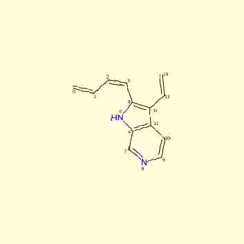 C=C/C=C\c1[nH]c2cnccc2c1C=C